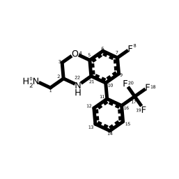 NCC1COc2cc(F)cc(-c3ccccc3C(F)(F)F)c2N1